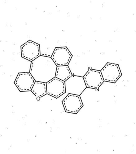 c1ccc(-c2nc3ccccc3nc2-n2c3cccc4c5ccccc5c5cccc6oc7ccc2c(c7c65)c43)cc1